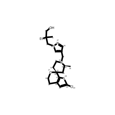 CCC(C)(CO)Cn1cc(CN2CC[C@]3(C[C@@H]2C)OCCc2cc(Cl)sc23)cn1